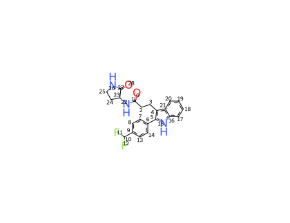 O=C(CCc1c(-c2ccc(C(F)F)cc2)[nH]c2ccccc12)NC1CCNC1=O